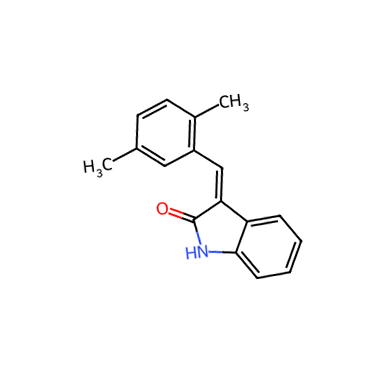 Cc1ccc(C)c(/C=C2\C(=O)Nc3ccccc32)c1